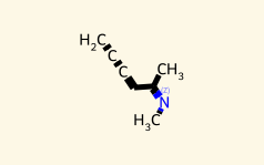 C=C=C=C/C(C)=N\C